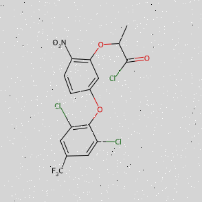 CC(Oc1cc(Oc2c(Cl)cc(C(F)(F)F)cc2Cl)ccc1[N+](=O)[O-])C(=O)Cl